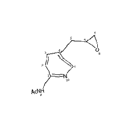 CC(=O)Nc1ccc(CC2CO2)cn1